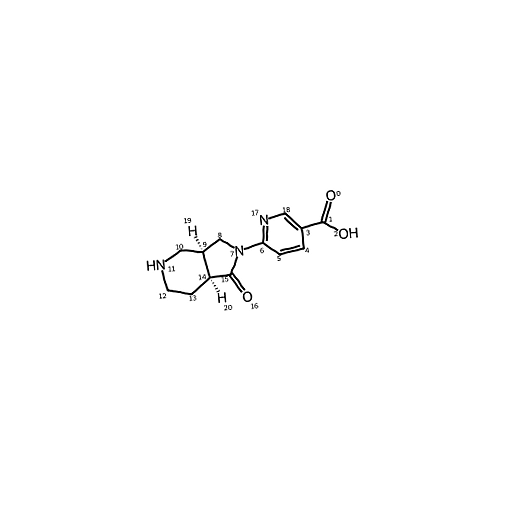 O=C(O)c1ccc(N2C[C@@H]3CNCC[C@@H]3C2=O)nc1